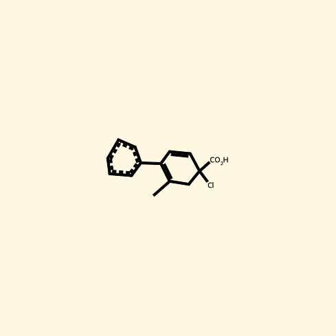 CC1=C(c2ccccc2)C=CC(Cl)(C(=O)O)C1